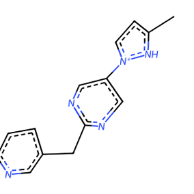 Cc1cc[n+](-c2cnc(Cc3cccnc3)nc2)[nH]1